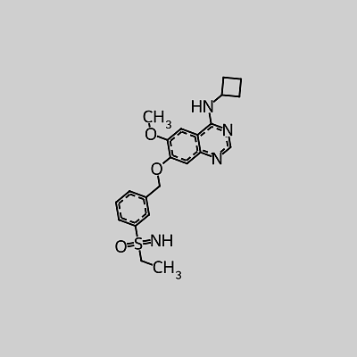 CCS(=N)(=O)c1cccc(COc2cc3ncnc(NC4CCC4)c3cc2OC)c1